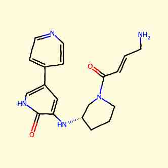 NCC=CC(=O)N1CCC[C@H](Nc2cc(-c3ccncc3)c[nH]c2=O)C1